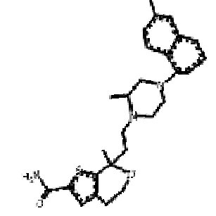 CC1CN(c2cccc3cc(F)ccc23)CCN1CCC1(C)OCCc2cc(C(N)=O)sc21